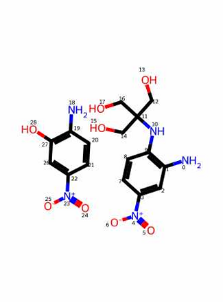 Nc1cc([N+](=O)[O-])ccc1NC(CO)(CO)CO.Nc1ccc([N+](=O)[O-])cc1O